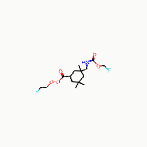 CC1(C)CC(C(=O)OOCCF)CC(C)(CNC(=O)OCF)C1